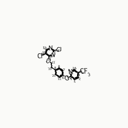 FC(F)(F)c1ccc(Oc2ccc(CCOc3nc(Cl)ncc3Cl)cc2)nc1